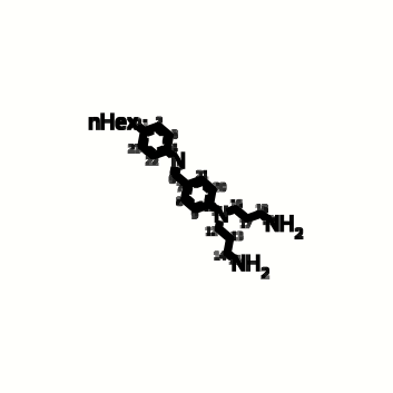 CCCCCCc1ccc(N=Cc2ccc(N(CCCN)CCCN)cc2)cc1